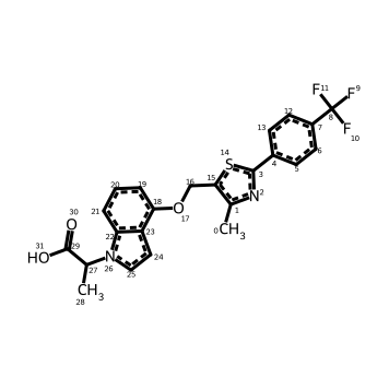 Cc1nc(-c2ccc(C(F)(F)F)cc2)sc1COc1cccc2c1ccn2C(C)C(=O)O